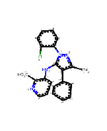 Cc1nn(-c2ccccc2Cl)c(Nc2cccnc2C(=O)O)c1-c1ccccc1